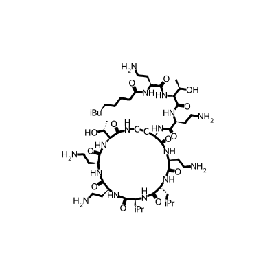 CC[C@H](C)CCCCC(=O)N[C@@H](CCN)C(=O)N[C@H](C(=O)N[C@@H](CCN)C(=O)N[C@H]1CCNC(=O)[C@H]([C@@H](C)O)NC(=O)[C@H](CCN)NC(=O)[C@H](CCN)NC(=O)[C@H](C(C)C)NC(=O)[C@@H](CC(C)C)NC(=O)[C@H](CCN)NC1=O)[C@@H](C)O